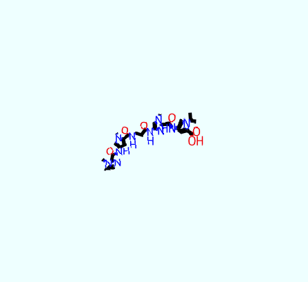 CC(C)n1cc(NC(=O)c2nc(NC(=O)CCNC(=O)c3cc(NC(=O)c4nccn4C)cn3C)cn2C)cc1C(=O)O